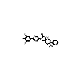 CN(C)[C@]1(c2ccccc2)CC[C@@]2(CC1)CN(c1cnc(-c3cc(F)c(F)c(F)c3)nc1)C(=O)N2